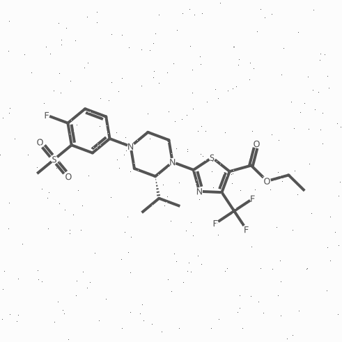 CCOC(=O)c1sc(N2CCN(c3ccc(F)c(S(C)(=O)=O)c3)C[C@H]2C(C)C)nc1C(F)(F)F